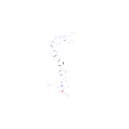 COC(=O)N[C@H](C(=O)N1CCC[C@H]1c1ncc(-c2ccc3c(c2)Oc2ncc(-c4cnc([C@@H]5CCCN5C(=O)[C@@H](NC(=O)OC)C(C)C)[nH]4)nc2O3)[nH]1)C(C)C